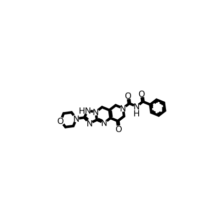 O=C1CN(C(=O)NC(=O)c2ccccc2)CC2=C1N=C1N=C(N3CCOCC3)NN1C2